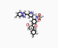 CNC(=O)c1c(-c2ccc(C)cc2)oc2cc(N(C)S(C)(=O)=O)c(-c3cncc(-c4cn5ccc(C)cc5n4)c3)cc12